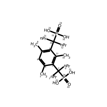 CCCC(CCC)(c1c(C)cc(C)c(C(CCC)(CCC)P(=O)(O)O)c1C)P(=O)(O)O